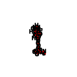 CCOC(=O)Cn1cc(N(CCOCCOCCOCCOCCNC(=O)N2CC[C@H]3CC[C@@H](C(=O)NC(CCC(N)=O)C(=O)NC(c4ccccc4)c4ccccc4)N3C(=O)[C@@H](NC(=O)OC(C)(C)C)C2)C(=O)[C@H]2CCCN(c3cncc4ccccc34)C2)ccc1=O